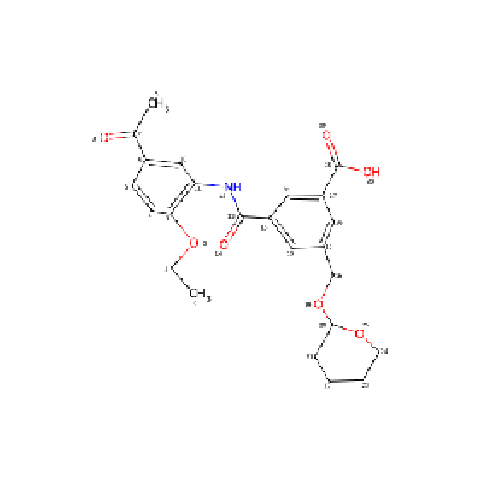 CCOc1ccc(C(C)=O)cc1NC(=O)c1cc(COC2CCCCO2)cc(C(=O)O)c1